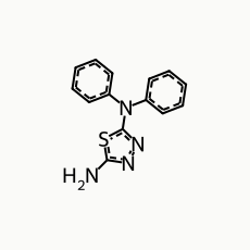 Nc1nnc(N(c2ccccc2)c2ccccc2)s1